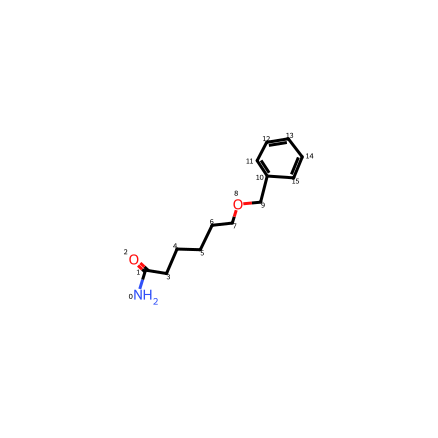 NC(=O)CCCCCOCc1ccccc1